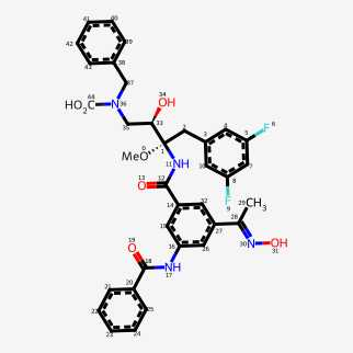 CO[C@](Cc1cc(F)cc(F)c1)(NC(=O)c1cc(NC(=O)c2ccccc2)cc(/C(C)=N/O)c1)[C@H](O)CN(Cc1ccccc1)C(=O)O